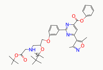 Cc1noc(C)c1-c1cc(C(=O)Oc2ccccc2)nc(-c2cccc(OCC(CNCC(=O)OC(C)(C)C)O[Si](C)(C)C(C)(C)C)c2)n1